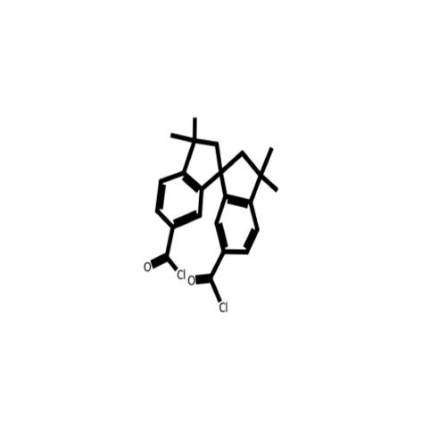 CC1(C)CC2(CC(C)(C)c3ccc(C(=O)Cl)cc32)c2cc(C(=O)Cl)ccc21